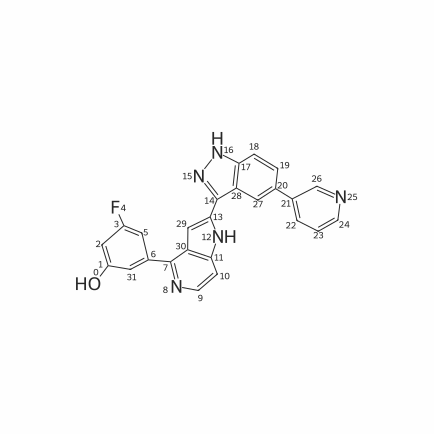 Oc1cc(F)cc(-c2nccc3[nH]c(-c4n[nH]c5ccc(-c6cccnc6)cc45)cc23)c1